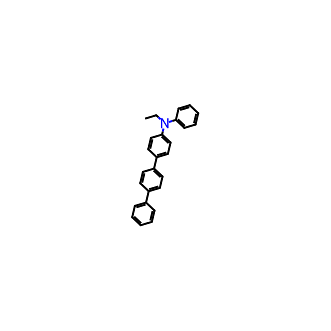 CCN(c1ccccc1)c1ccc(-c2ccc(-c3ccccc3)cc2)cc1